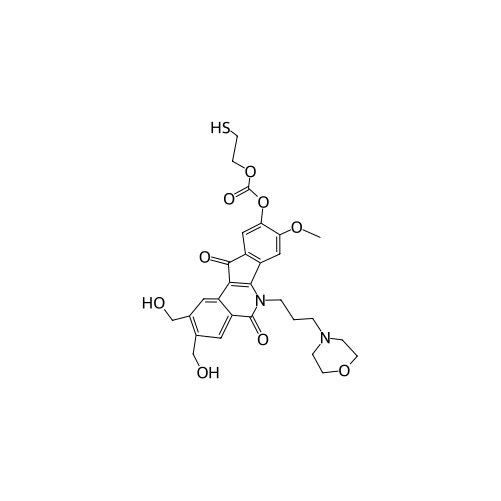 COc1cc2c(cc1OC(=O)OCCS)C(=O)c1c-2n(CCCN2CCOCC2)c(=O)c2cc(CO)c(CO)cc12